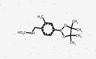 Cc1cc(B2OC(C)(C)C(C)(C)O2)ccc1CNC(=O)O